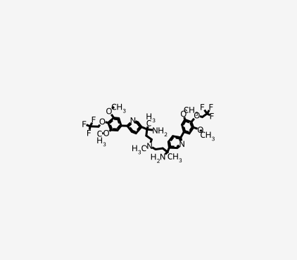 COc1cc(-c2ccc(C(C)(N)CCN(C)CCC(C)(N)c3ccc(-c4cc(OC)c(OCC(F)(F)F)c(OC)c4)nc3)cn2)cc(OC)c1OCC(F)(F)F